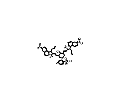 C=CCC1C(=CC=C2CCCC(C=CC3C(CC=C)C4C5=C(C=CC4[N+]3(C)C)CC(=S(=O)=O)C=C5)=C2Cl)[N+](C)(C)C2C=CC3=C(C=CC(=S(=O)=O)C3)C12.Cc1ccc(S(=O)(=O)O)cc1